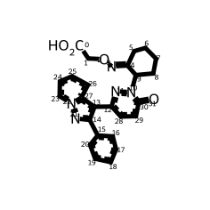 O=C(O)CON=C1CCCCC1n1nc(-c2c(-c3ccccc3)nn3ccccc23)ccc1=O